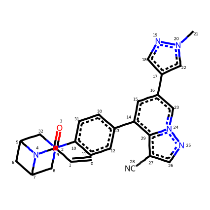 C=CC(=O)N1C2CC1CN(c1ccc(-c3cc(-c4cnn(C)c4)cn4ncc(C#N)c34)cc1)C2